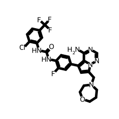 Nc1ncnn2c(CN3CCCOCC3)cc(-c3ccc(NC(=O)Nc4cc(C(F)(F)F)ccc4Cl)c(F)c3)c12